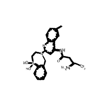 Cc1ccc2nc(N3CCS(O)(O)c4ccccc4C3)cc(NC(=O)CC(N)C(F)(F)F)c2c1